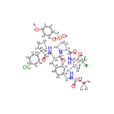 COc1ccc(CS(=O)(=O)[C@@H]2C[C@@H](C(=O)NC(C(=O)C(F)(F)F)C(C)C)N(C(=O)C(Cc3ccc(CNC(=O)OC(C)(C)C)cc3)NC(=O)C3(c4ccc(Cl)cc4)CCCC3)C2)cc1